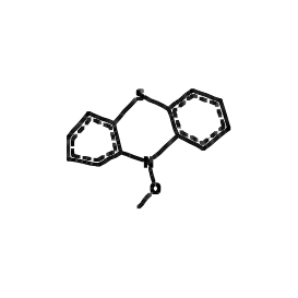 CON1c2ccccc2Sc2ccccc21